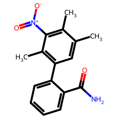 Cc1cc(-c2ccccc2C(N)=O)c(C)c([N+](=O)[O-])c1C